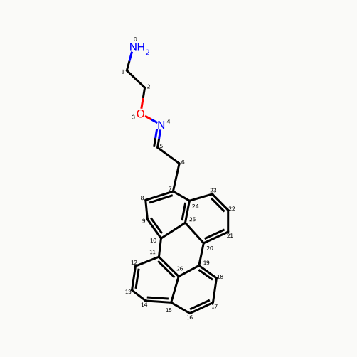 NCCON=CCc1ccc2c3cccc4cccc(c5cccc1c52)c43